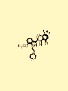 COc1cccc2c(C(=O)Nc3c(Cl)ccc(C)c3Cl)nn(CCN3CCOCC3)c12